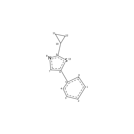 [c]1ccccc1-c1cnc(C2CC2)s1